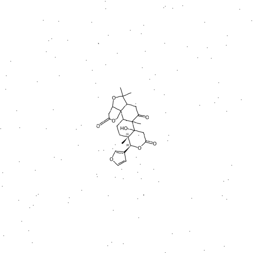 CC1(C)OC2CC(=O)OCC23C1CC(=O)C1(C)C3CC[C@@]2(C)[C@H](c3ccoc3)OC(=O)CC12O